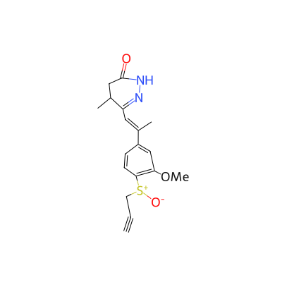 C#CC[S+]([O-])c1ccc(C(C)=CC2=NNC(=O)CC2C)cc1OC